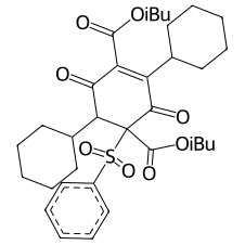 CC(C)COC(=O)C1=C(C2CCCCC2)C(=O)C(C(=O)OCC(C)C)(S(=O)(=O)c2ccccc2)C(C2CCCCC2)C1=O